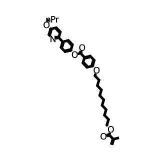 C=C(C)C(=O)OCCCCCCCCCCCOc1ccc(C(=O)Oc2ccc(-c3ccc(OCCC)cn3)cc2)cc1